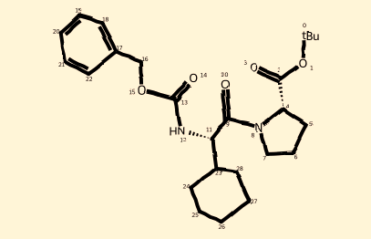 CC(C)(C)OC(=O)[C@@H]1CCCN1C(=O)[C@@H](NC(=O)OCc1ccccc1)C1CCCCC1